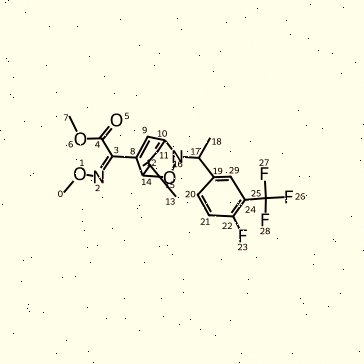 CON=C(C(=O)OC)c1cc2cc(C)c1ON2C(C)c1ccc(F)c(C(F)(F)F)c1